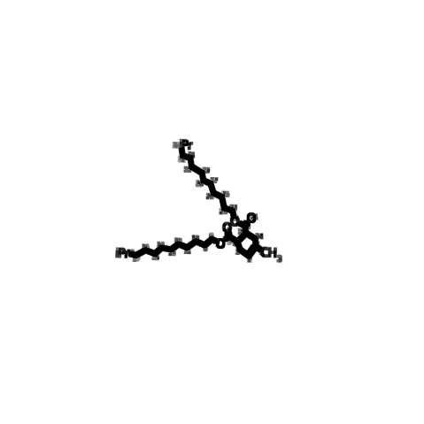 CC1=CCC(C(=O)OCCCCCCCCCCC(C)C)C(C(=O)OCCCCCCCCCCC(C)C)C1